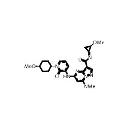 CNc1cc(Nc2cccn([C@H]3CC[C@H](OC)CC3)c2=O)nc2c(C(=O)/N=C3\C[C@H]3OC)cnn12